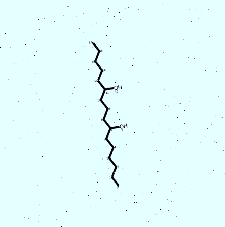 CCCCCCC(O)CCCC(O)CCCCC